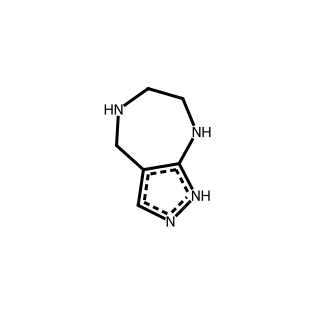 c1n[nH]c2c1CNCCN2